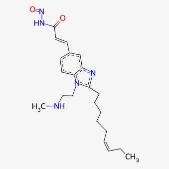 CC/C=C\CCCCCc1nc2cc(/C=C/C(=O)NN=O)ccc2n1CCNC